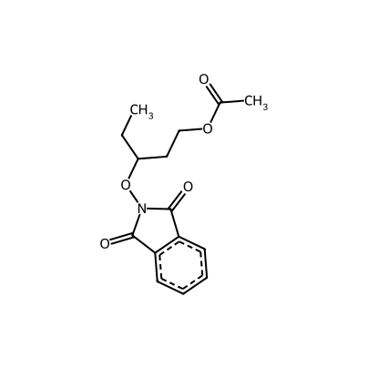 CCC(CCOC(C)=O)ON1C(=O)c2ccccc2C1=O